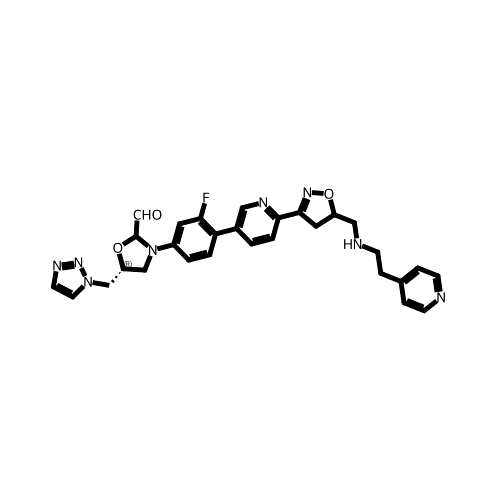 O=CC1O[C@@H](Cn2ccnn2)CN1c1ccc(-c2ccc(C3=NOC(CNCCc4ccncc4)C3)nc2)c(F)c1